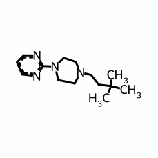 CC(C)(C)CCN1CCN(c2ncccn2)CC1